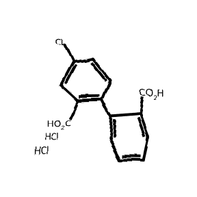 Cl.Cl.O=C(O)c1ccccc1-c1ccc(Cl)cc1C(=O)O